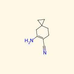 N#CC1=C(N)CC2(CC1)CC2